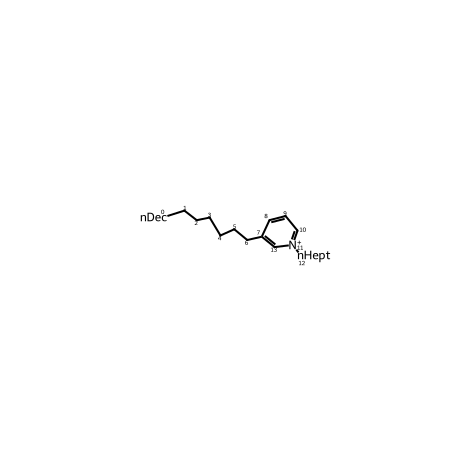 CCCCCCCCCCCCCCCCc1ccc[n+](CCCCCCC)c1